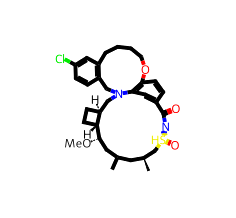 CO[C@H]1CC(C)C[C@H](C)C/[SH](=O)=N\C(=O)c2ccc3c(c2)N(Cc2ccc(Cl)cc2CCCCO3)C[C@@H]2CC[C@H]21